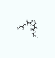 O=C(OCC(F)CBr)C(=O)OC(CF)C(F)C(=O)OCC(F)(F)F